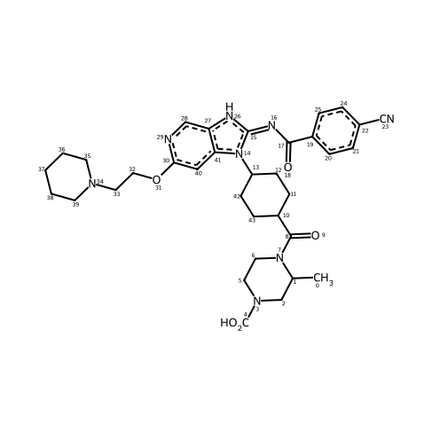 CC1CN(C(=O)O)CCN1C(=O)C1CCC(n2/c(=N\C(=O)c3ccc(C#N)cc3)[nH]c3cnc(OCCN4CCCCC4)cc32)CC1